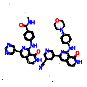 CNC(=O)c1ccc(Nc2nc(-c3cncnc3)cc3cc[nH]c(=O)c23)cc1.N#Cc1cncc(-c2cc3cc[nH]c(=O)c3c(Nc3ccc(N4CCOCC4)cc3)n2)c1